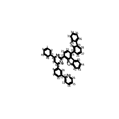 c1ccc(-c2cc(-c3cccc(-c4ccccn4)c3)nc(-c3ccc(-c4cccc5c4sc4ccccc45)c4c3oc3ccccc34)n2)cc1